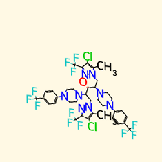 Cc1c(Cl)c(C(F)(F)F)nn1CC(C(=O)C(Cn1nc(C(F)(F)F)c(Cl)c1C)N1CCN(c2ccc(C(F)(F)F)cc2)CC1)N1CCN(c2ccc(C(F)(F)F)cc2)CC1